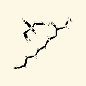 C=CS(=O)(=O)C=C.COC(O)COCCOCCO